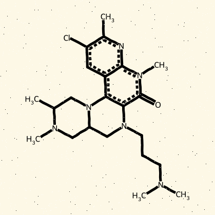 Cc1nc2c(cc1Cl)c1c(c(=O)n2C)N(CCCN(C)C)CC2CN(C)C(C)CN12